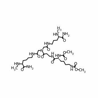 CNC(CCCCNC(=O)CN(CC(=O)NCCCC(NC)C(N)=O)C(=O)CCNC(=O)[C@H](CCCCNC(=O)OC)NC(=O)OC)C(N)=O